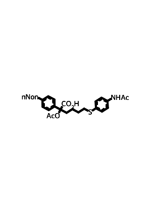 CCCCCCCCCc1ccc(C(CCCCSc2ccc(NC(C)=O)cc2)(OC(C)=O)C(=O)O)cc1